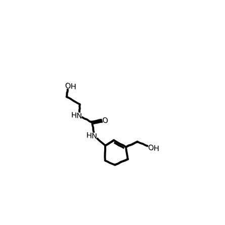 O=C(NCCO)NC1C=C(CO)CCC1